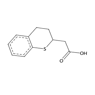 O=C(O)CC1CCc2ccccc2S1